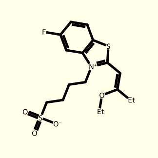 CCOC(=Cc1sc2ccc(F)cc2[n+]1CCCCS(=O)(=O)[O-])CC